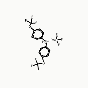 FC(F)(F)Oc1ccc([PH2+]c2ccc(OC(F)(F)F)cc2)cc1.F[B-](F)(F)F